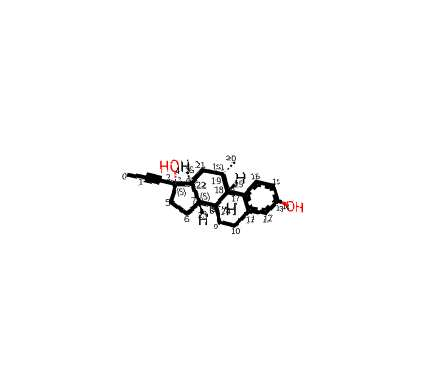 CC#C[C@]1(O)CC[C@H]2[C@@H]3CCc4cc(O)ccc4[C@H]3[C@@H](C)C[C@@H]21